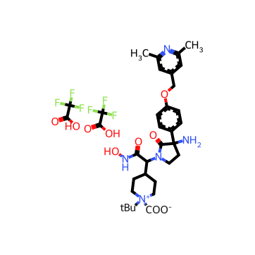 Cc1cc(COc2ccc(C3(N)CCN(C(C(=O)NO)C4CC[N+](C(=O)[O-])(C(C)(C)C)CC4)C3=O)cc2)cc(C)n1.O=C(O)C(F)(F)F.O=C(O)C(F)(F)F